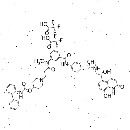 CC(Cc1ccc(NC(=O)c2cccc(N(C)C(=O)CCN3CCC(OC(=O)Nc4ccccc4-c4ccccc4)CC3)c2)cc1)NC[C@H](O)c1ccc(O)c2[nH]c(=O)ccc12.O=C(O)C(F)(F)F.O=C(O)C(F)(F)F